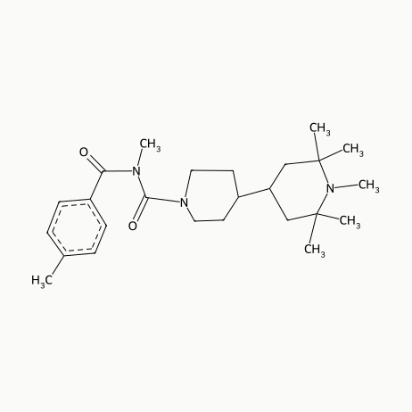 Cc1ccc(C(=O)N(C)C(=O)N2CCC(C3CC(C)(C)N(C)C(C)(C)C3)CC2)cc1